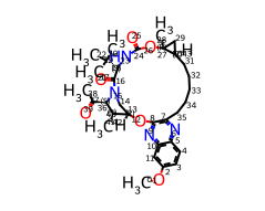 COc1ccc2nc3c(nc2c1)O[C@H]1CN(C(=O)[C@H](C(C)(C)C)NC(=O)O[C@]2(C)C[C@H]2CCCCC3)[C@H](C(C)=O)[C@@H]1C